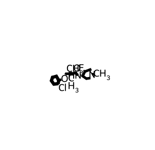 CN1CC[C@H](NC(=O)C(C)(C)COc2ccccc2Cl)[C@@H](F)C1